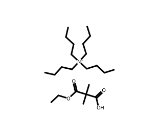 CCCC[N+](CCCC)(CCCC)CCCC.CCOC(=O)C(C)(C)C(=O)O